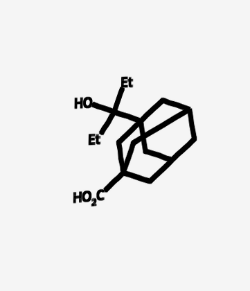 CCC(O)(CC)C12CC3CC(CC(C(=O)O)(C3)C1)C2